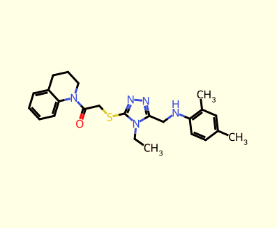 CCn1c(CNc2ccc(C)cc2C)nnc1SCC(=O)N1CCCc2ccccc21